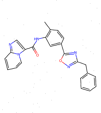 Cc1ccc(-c2nc(Cc3ccccc3)no2)cc1NC(=O)c1cnc2ccccn12